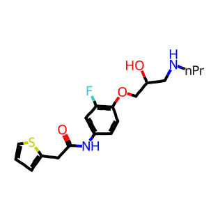 CCCNCC(O)COc1ccc(NC(=O)Cc2cccs2)cc1F